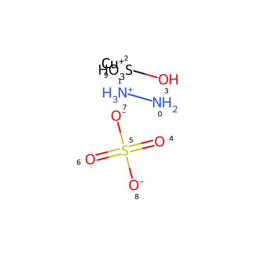 N[NH3+].O=S(=O)(O)O.O=S(=O)([O-])[O-].[Cu+]